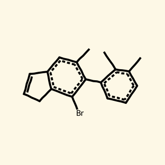 Cc1cccc(-c2c(C)cc3c(c2Br)CC=C3)c1C